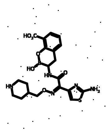 Nc1nc(C(=NOCC2CCNCC2)C(=O)NC2Cc3cccc(C(=O)O)c3OB2O)cs1